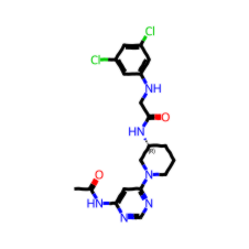 CC(=O)Nc1cc(N2CCC[C@@H](NC(=O)CNc3cc(Cl)cc(Cl)c3)C2)ncn1